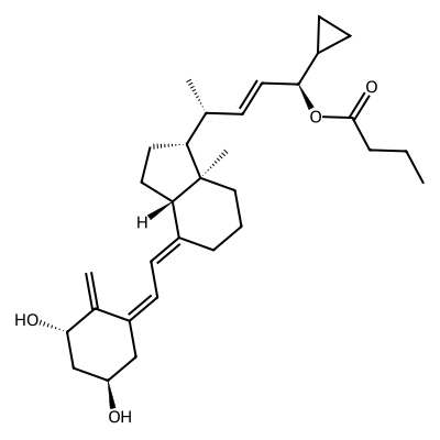 C=C1/C(=C\C=C2/CCC[C@]3(C)[C@@H]([C@H](C)/C=C/[C@H](OC(=O)CCC)C4CC4)CC[C@@H]23)C[C@@H](O)C[C@@H]1O